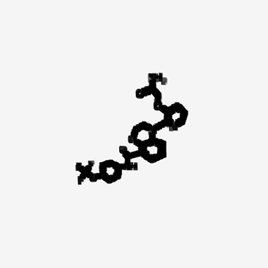 NC(=O)COc1cccnc1N1CCOc2c(C(=O)Nc3ccc(OC(F)(F)F)cc3)cccc21